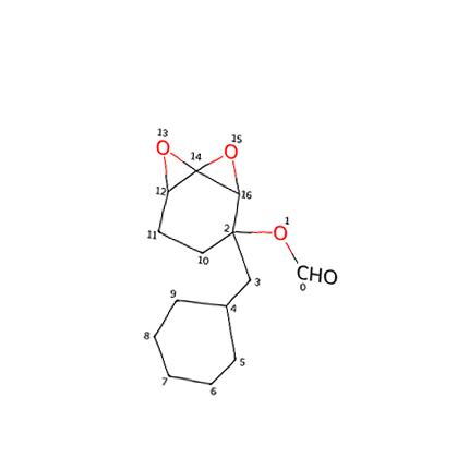 O=COC1(CC2CCCCC2)CCC2OC23OC13